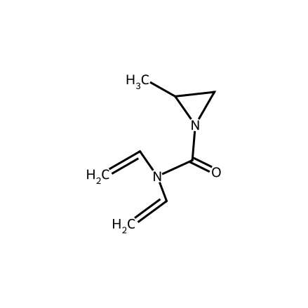 C=CN(C=C)C(=O)N1CC1C